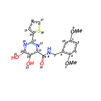 COc1ccc(OC)c(CNC(=O)c2nc(-c3cccs3)nc(O)c2O)c1